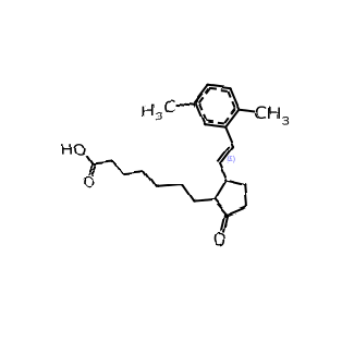 Cc1ccc(C)c(/C=C/C2CCC(=O)C2CCCCCCC(=O)O)c1